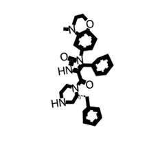 CN1CCOc2ccc(-n3c(-c4ccccc4)c(C(=O)N4CCNC[C@H]4Cc4ccccc4)[nH]c3=O)cc21